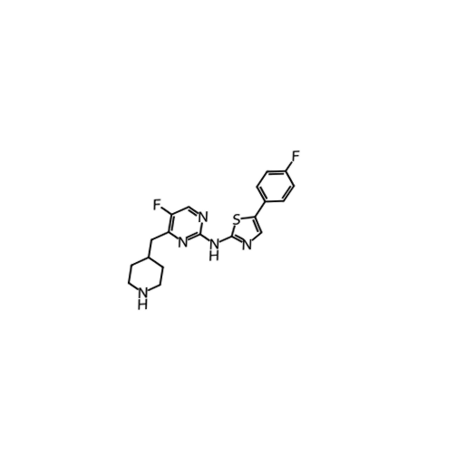 Fc1ccc(-c2cnc(Nc3ncc(F)c(CC4CCNCC4)n3)s2)cc1